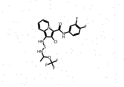 CC(NSNc1c(Cl)c(C(=O)Nc2ccc(F)c(F)c2)n2ccccc12)OC(F)(F)F